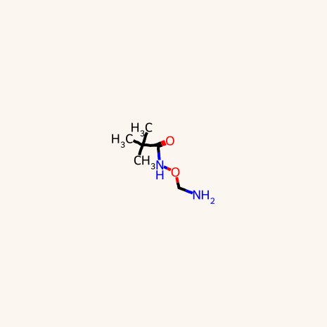 CC(C)(C)C(=O)NOCN